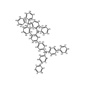 c1ccc(-c2ccc(N(c3ccc(-c4ccccc4)cc3)c3ccc(-c4ccc5c(c4)-n4c6ccccc6c6ccc7c(c64)-c4c-5cccc4C7(c4ccccc4)c4ccccc4)cc3)cc2)cc1